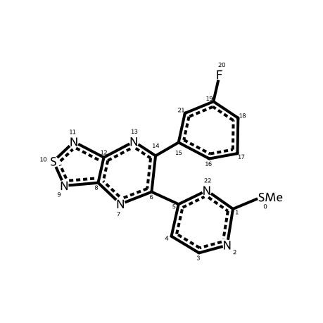 CSc1nccc(-c2nc3nsnc3nc2-c2cccc(F)c2)n1